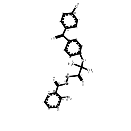 CC(C)(Oc1ccc(C(=O)c2ccc(Cl)cc2)cc1)C(=O)NNC(=O)c1nccnc1N